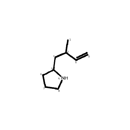 C=CC(C)CC1CCCN1